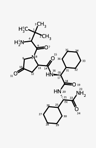 CC(C)(C)C(N)C(=O)N1CC(=O)CC1C(=O)N[C@H](C(=O)N[C@H](C(N)=O)C1CCCCC1)C1CCCCC1